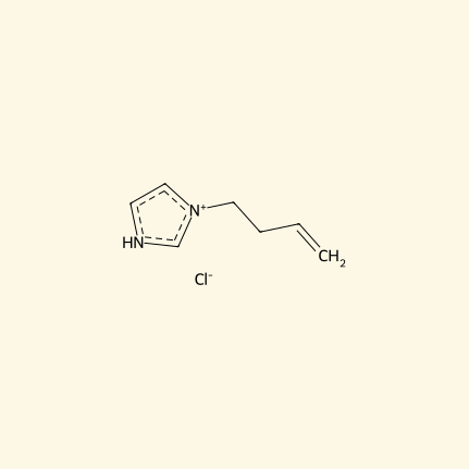 C=CCC[n+]1cc[nH]c1.[Cl-]